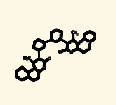 Cc1c(-c2cccc(-c3cccc(-c4c(C)c5c(ccc6ccccc65)oc4=O)c3)c2)c(=O)oc2ccc3ccccc3c12